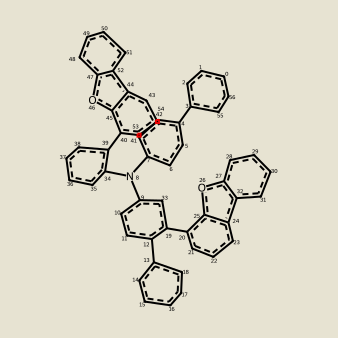 c1ccc(-c2ccc(N(c3ccc(-c4ccccc4)c(-c4cccc5c4oc4ccccc45)c3)c3ccccc3-c3cccc4c3oc3ccccc34)cc2)cc1